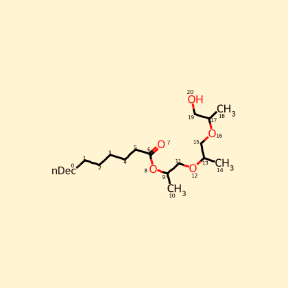 CCCCCCCCCCCCCCCC(=O)OC(C)COC(C)COC(C)CO